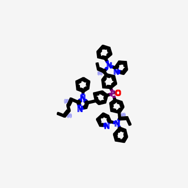 C/C=C\C=C/c1ncc(-c2ccc(P(=O)(c3ccc(/C(=C/C)N(c4ccccc4)c4ccccn4)cc3)c3ccc(/C(=C/C)N(c4ccccc4)c4ccccn4)cc3)cc2)n1-c1ccccc1